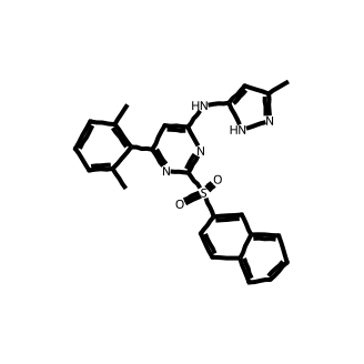 Cc1cc(Nc2cc(-c3c(C)cccc3C)nc(S(=O)(=O)c3ccc4ccccc4c3)n2)[nH]n1